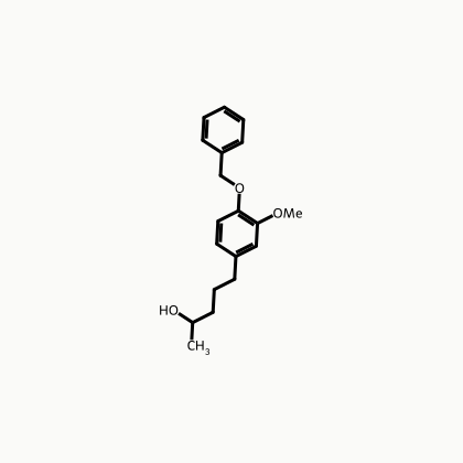 COc1cc(CCCC(C)O)ccc1OCc1ccccc1